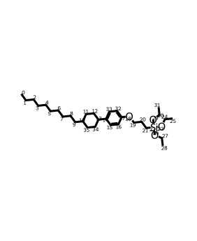 CCCCCCCCCCC1CCC(c2ccc(OCCC[Si](OCC)(OCC)OCC)cc2)CC1